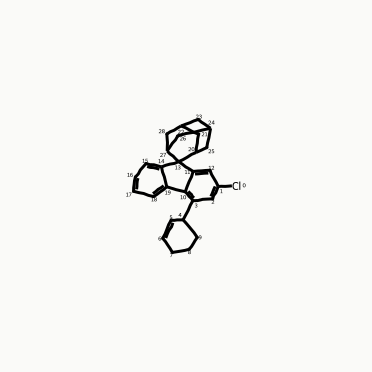 Clc1cc(C2C=CCCC2)c2c(c1)C1(c3ccccc3-2)C2CC3CC(C2)CC1C3